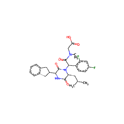 CC(C)CC1C(=O)NC(C2Cc3ccccc3C2)C(=O)N1C(C(=O)N(C)CC(=O)O)c1ccc(F)cc1F